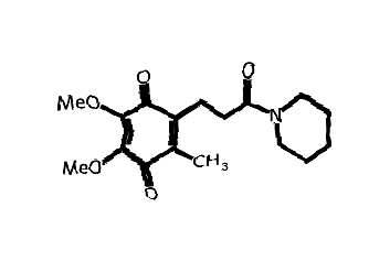 COC1=C(OC)C(=O)C(CCC(=O)N2CCCCC2)=C(C)C1=O